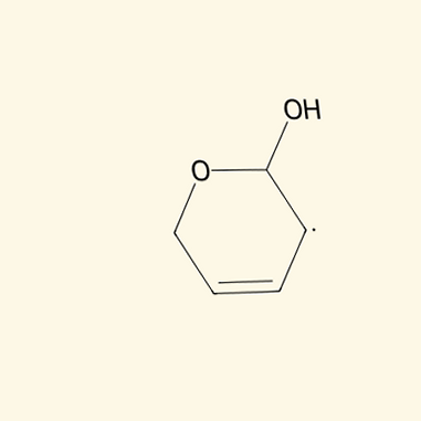 OC1[CH]C=CCO1